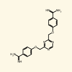 N=C(N)c1ccc(OCc2ncnc(COc3ccc(C(=N)N)cc3)n2)cc1